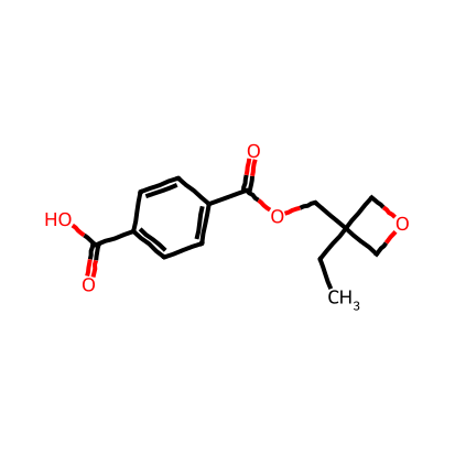 CCC1(COC(=O)c2ccc(C(=O)O)cc2)COC1